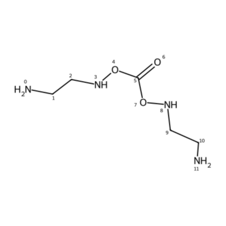 NCCNOC(=O)ONCCN